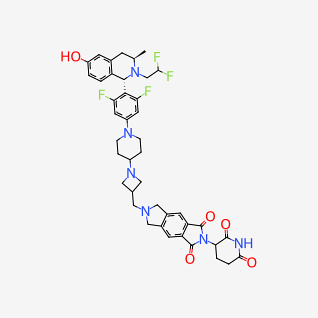 C[C@@H]1Cc2cc(O)ccc2[C@@H](c2c(F)cc(N3CCC(N4CC(CN5Cc6cc7c(cc6C5)C(=O)N(C5CCC(=O)NC5=O)C7=O)C4)CC3)cc2F)N1CC(F)F